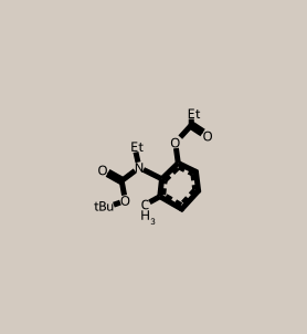 CCC(=O)Oc1cccc(C)c1N(CC)C(=O)OC(C)(C)C